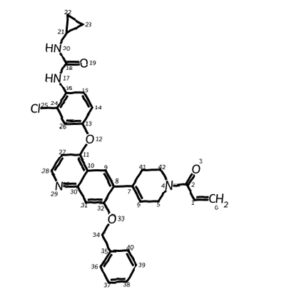 C=CC(=O)N1CC=C(c2cc3c(Oc4ccc(NC(=O)NC5CC5)c(Cl)c4)ccnc3cc2OCc2ccccc2)CC1